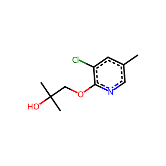 Cc1cnc(OCC(C)(C)O)c(Cl)c1